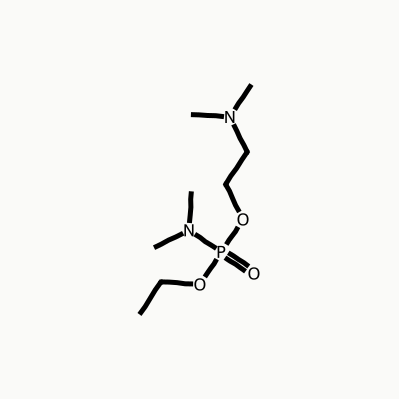 CCOP(=O)(OCCN(C)C)N(C)C